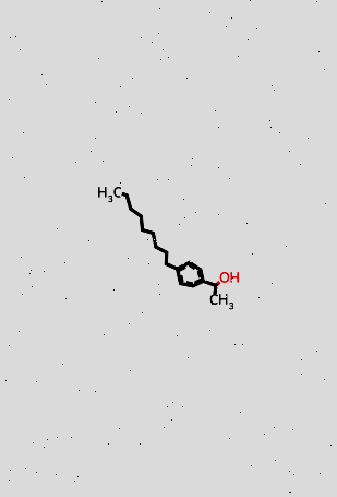 CCCCCCCCCc1ccc(C(C)O)cc1